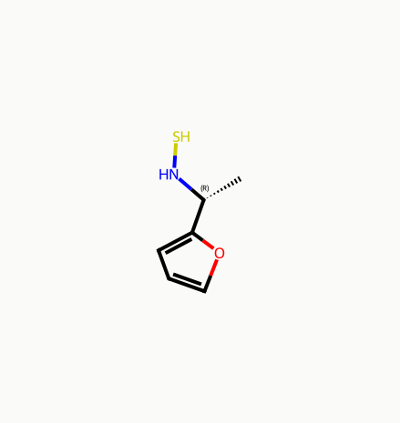 C[C@@H](NS)c1ccco1